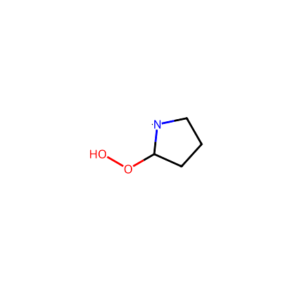 OOC1CCC[N]1